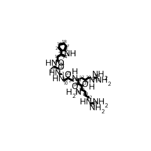 C[C@H](NCNC(=O)[C@@H](C)NC(=O)Cc1c[nH]c2ccccc12)C(=O)CN[C@@H](CCCNC(N)N)C(=O)C(=O)[C@@H](N)CCCNC(N)N